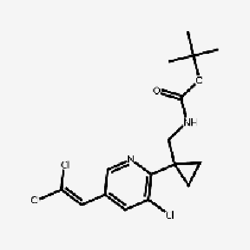 CC(C)(C)OC(=O)NCC1(c2ncc(C=C(Cl)Cl)cc2Cl)CC1